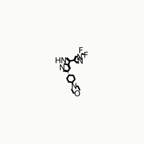 FC(F)n1cc(-c2c[nH]c3ncc([C@H]4CC[C@H](N5CCOCC5)CC4)cc23)cn1